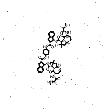 CN[C@@H](C)C(=O)N[C@H]1CCS[C@H]2CC(C)(C)[C@@H](C(=O)N[C@H]3c4ccccc4C[C@H]3C(=O)NC3CCC(NC(=O)[C@@H]4Cc5ccccc5[C@@H]4NC(=O)[C@H]4N5C(=O)[C@@H](NC(=O)[C@H](C)NC)CCS[C@H]5CC4(C)C)CC3)N2C1=O